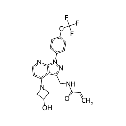 C=CC(=O)NCc1nn(-c2ccc(OC(F)(F)F)cc2)c2nccc(N3CC(O)C3)c12